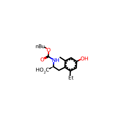 CCCCOC(=O)N[C@@H](Cc1c(C)cc(O)cc1CC)C(=O)O